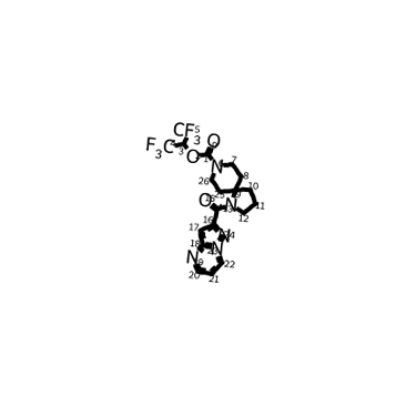 O=C(OC(C(F)(F)F)C(F)(F)F)N1CCC2(CCCN2C(=O)c2cc3ncccn3n2)CC1